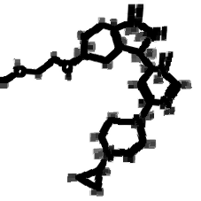 COCCO[C@H]1CCC2=C(C1)[C@H]([C@H]1C=C(N3CCN(C4CC4)CC3)N=CN1)NN2